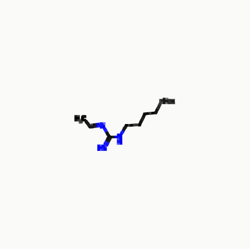 CC=NC(=N)NCCCCCCCCCC